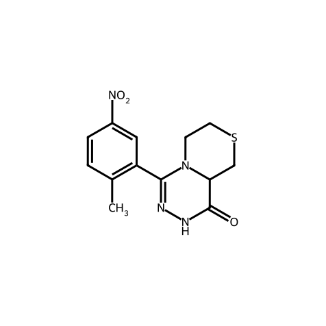 Cc1ccc([N+](=O)[O-])cc1C1=NNC(=O)C2CSCCN12